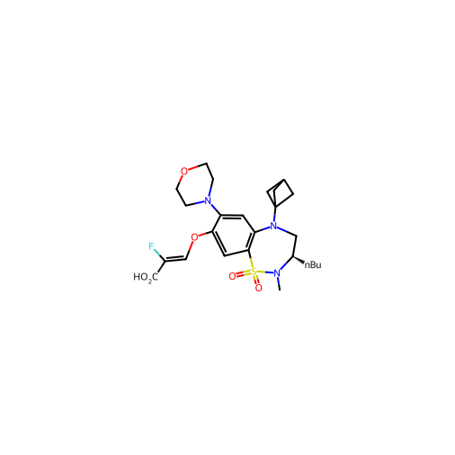 CCCC[C@@H]1CN(C23CC(C2)C3)c2cc(N3CCOCC3)c(O/C=C(\F)C(=O)O)cc2S(=O)(=O)N1C